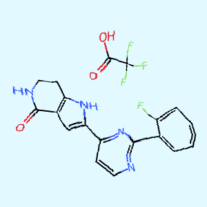 O=C(O)C(F)(F)F.O=C1NCCc2[nH]c(-c3ccnc(-c4ccccc4F)n3)cc21